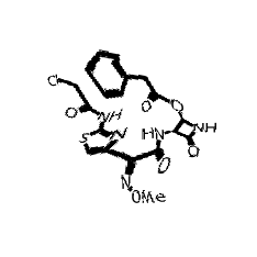 CO/N=C(\C(=O)N[C@@H]1C(=O)N[C@@H]1OC(=O)Cc1ccccc1)c1csc(NC(=O)CCl)n1